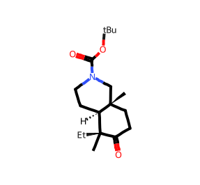 CC[C@]1(C)C(=O)CC[C@@]2(C)CN(C(=O)OC(C)(C)C)CC[C@@H]21